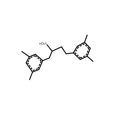 CCCCCCCCC([CH]Cc1cc(C)cc(C)c1)Cc1cc(C)cc(C)c1